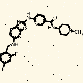 CN1CCC(NC(=O)c2ccc(Nc3nc4ccc(NCc5ccc(F)cc5F)nc4s3)nc2)CC1